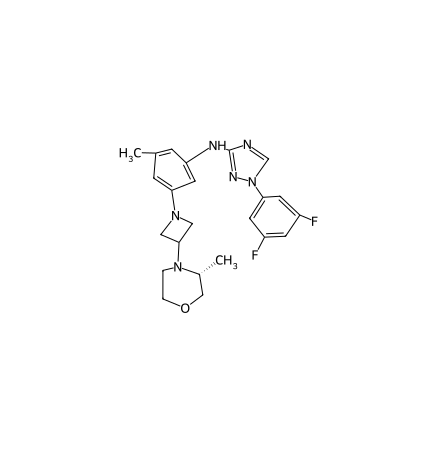 Cc1cc(Nc2ncn(-c3cc(F)cc(F)c3)n2)cc(N2CC(N3CCOC[C@H]3C)C2)c1